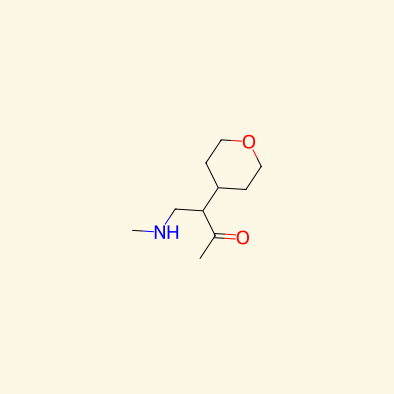 CNCC(C(C)=O)C1CCOCC1